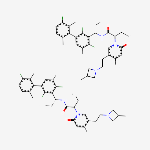 CCOC(=O)C[C@H](NC(=O)C(CC(C)C)n1cc(CCN2CC(C)C2)c(C(F)(F)F)cc1=O)c1c(F)c(-c2c(C)ccc(F)c2C)cc(C(F)(F)F)c1F.Cc1ccc(F)c(C)c1-c1cc(C(F)(F)F)c(F)c([C@H](CC(=O)O)NC(=O)C(CC(C)C)n2cc(CCN3CC(C)C3)c(C(F)(F)F)cc2=O)c1F